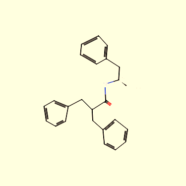 O=[C][C@H](Cc1ccccc1)NC(=O)C(Cc1ccccc1)Cc1ccccc1